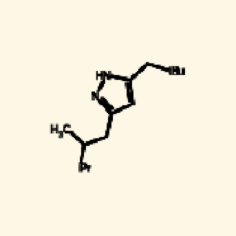 CC(C)C(C)Cc1cc(CC(C)(C)C)[nH]n1